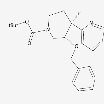 CC(C)(C)OC(=O)N1CC[C@@](C)(c2ccccn2)[C@H](OCc2ccccc2)C1